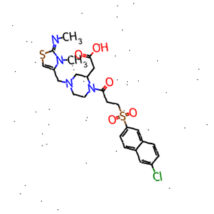 CN=c1scc(CN2CCN(C(=O)CCS(=O)(=O)c3ccc4cc(Cl)ccc4c3)C(CC(=O)O)C2)n1C